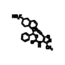 Cc1noc(C#Cc2ccc3c(c2)CCC(C(=O)O)C3)c1NC(=O)OC(C)c1ccccc1